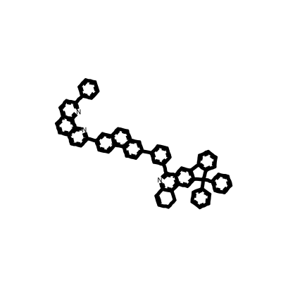 C1=Cc2nc(-c3cccc(-c4ccc5c(ccc6cc(-c7ccc8ccc9ccc(-c%10ccccc%10)nc9c8n7)ccc65)c4)c3)c3cc4c(cc3c2CC1)C(c1ccccc1)(c1ccccc1)c1ccccc1-4